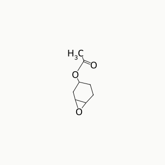 CC(=O)OC1CCC2OC2C1